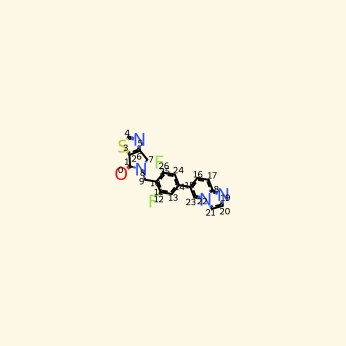 O=C1c2scnc2CN1Cc1c(F)cc(-c2ccc3nccn3c2)cc1F